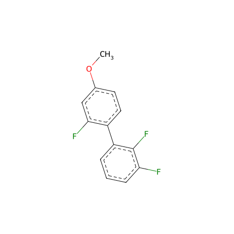 COc1ccc(-c2cccc(F)c2F)c(F)c1